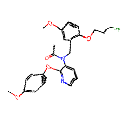 COc1ccc(Oc2ncccc2N(Cc2cc(OC)ccc2OCCC[18F])C(C)=O)cc1